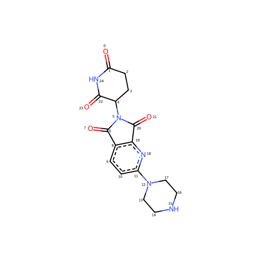 O=C1CCC(N2C(=O)c3ccc(N4CCNCC4)nc3C2=O)C(=O)N1